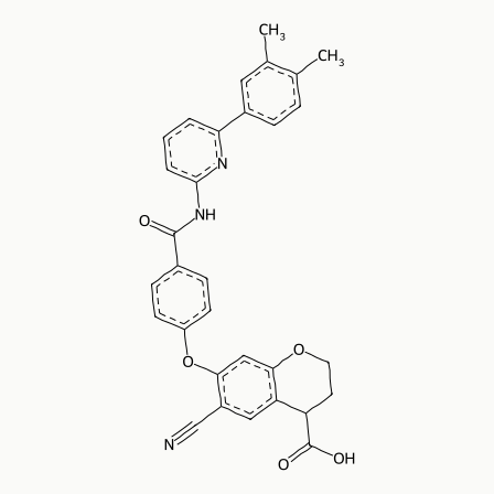 Cc1ccc(-c2cccc(NC(=O)c3ccc(Oc4cc5c(cc4C#N)C(C(=O)O)CCO5)cc3)n2)cc1C